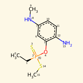 CC[P@@](=S)(Oc1cc(NC)ccc1N)SC